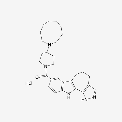 Cl.O=C(c1ccc2[nH]c3c(c2c1)CCCc1cn[nH]c1-3)N1CCC(N2CCCCCCCC2)CC1